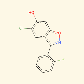 Oc1cc2onc(-c3ccccc3F)c2cc1Cl